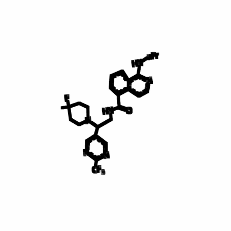 CCCNc1nccc2c(C(=O)NCC(c3cnc(C(F)(F)F)nc3)N3CCC(C)(F)CC3)cccc12